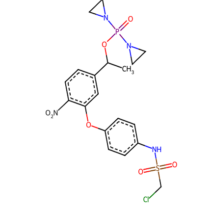 CC(OP(=O)(N1CC1)N1CC1)c1ccc([N+](=O)[O-])c(Oc2ccc(NS(=O)(=O)CCl)cc2)c1